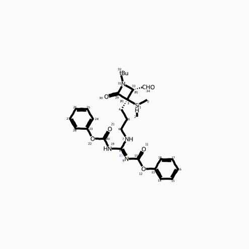 C[SiH](C)[C@@]1(CCCN/C(=N\C(=O)Oc2ccccc2)NC(=O)Oc2ccccc2)C(=O)N(C(C)(C)C)[C@@H]1C=O